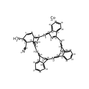 N#Cc1c(N)ccc2c3nc4nc(nc5[nH]c(nc6nc(nc([nH]3)c12)-c1ccccc1-6)c1ccccc51)-c1ccccc1-4.[Co]